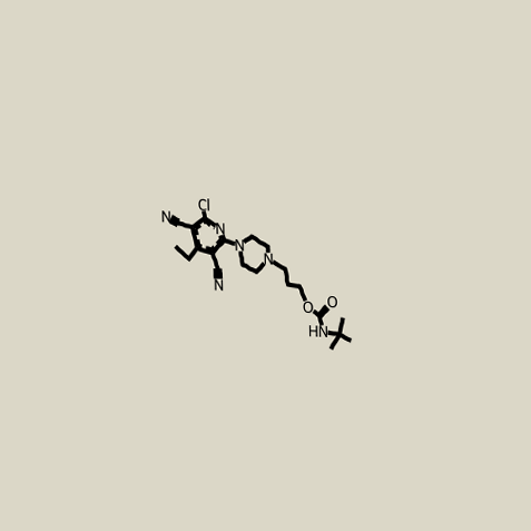 CCc1c(C#N)c(Cl)nc(N2CCN(CCCOC(=O)NC(C)(C)C)CC2)c1C#N